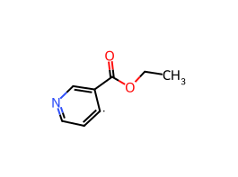 CCOC(=O)c1[c]ccnc1